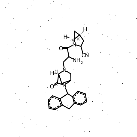 N#CC1C[C@@H]2C[C@@H]2N1C(=O)C(N)CN1CC2C[C@H]1C(=O)N2C1c2ccccc2Cc2ccccc21